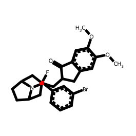 COc1cc2c(cc1OC)C(=O)C(CC1(F)CC3CCC(C1)N3Cc1cccc(Br)c1)C2